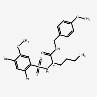 CCCC[C@@H](NS(=O)(=O)c1cc(OC)c(Br)cc1Br)C(=O)NCc1ccc(OC)cc1